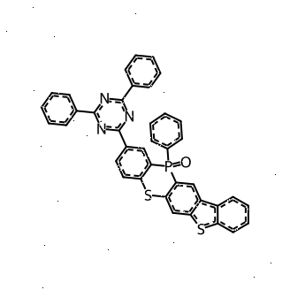 O=P1(c2ccccc2)c2cc(-c3nc(-c4ccccc4)nc(-c4ccccc4)n3)ccc2Sc2cc3sc4ccccc4c3cc21